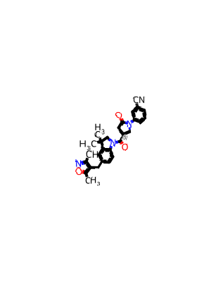 Cc1noc(C)c1Cc1ccc2c(c1)C(C)(C)CN2C(=O)[C@H]1CC(=O)N(c2cccc(C#N)c2)C1